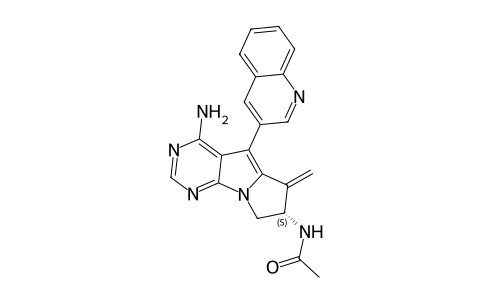 C=C1c2c(-c3cnc4ccccc4c3)c3c(N)ncnc3n2C[C@H]1NC(C)=O